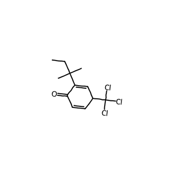 CCC(C)(C)C1=CC(C(Cl)(Cl)Cl)C=CC1=O